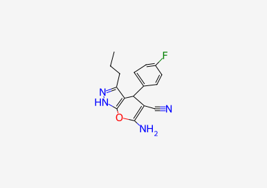 CCCc1n[nH]c2c1C(c1ccc(F)cc1)C(C#N)=C(N)O2